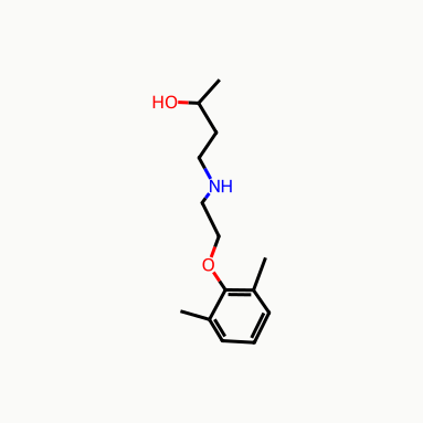 Cc1cccc(C)c1OCCNCCC(C)O